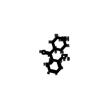 O=C(c1ncccc1C(F)(F)F)N1CCNCC1